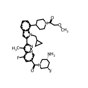 COCC(=O)N1CCC(c2cccc3cc(-c4nn5cc(C(=O)N6C[C@H](N)C[C@@H](F)C6)cc(F)c5c4C)n(CC4CC4)c23)CC1